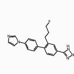 FCCCc1cc(-c2n[nH][nH]2)ccc1-c1ccc(-n2ccnc2)cc1